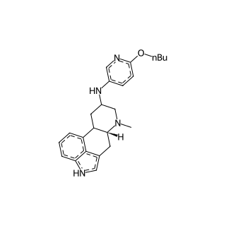 CCCCOc1ccc(NC2CC3c4cccc5[nH]cc(c45)C[C@H]3N(C)C2)cn1